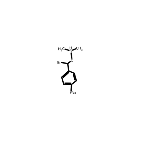 C[SiH](C)OC(Br)c1ccc(C(C)(C)C)cc1